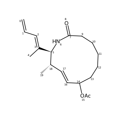 C=C/C=C(\C)[C@H]1NC(=O)CCCCCC(OC(C)=O)/C=C/[C@@H]1C